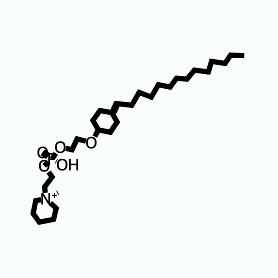 CCCCCCCCCCCCCC=C1CCC(OCCOP(=O)(O)OCC[N+]2(C)CCCCC2)CC1